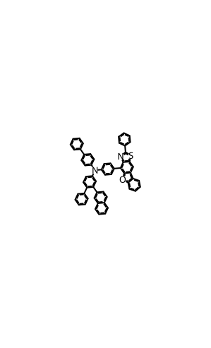 c1ccc(-c2ccc(N(c3ccc(-c4c5nc(-c6ccccc6)sc5cc5c4oc4ccccc45)cc3)c3ccc(-c4ccccc4)c(-c4ccc5ccccc5c4)c3)cc2)cc1